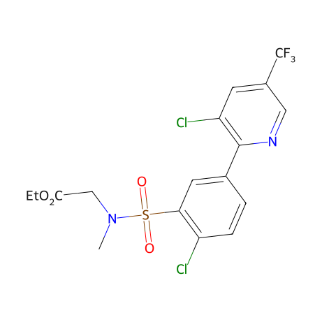 CCOC(=O)CN(C)S(=O)(=O)c1cc(-c2ncc(C(F)(F)F)cc2Cl)ccc1Cl